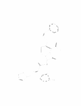 Nc1nc(/C(=N\OC2C=CCC2)C(=O)NC2C(=O)N3C(C(=O)O)=C(S/C=C\c4cccnc4)CS[C@H]23)cs1